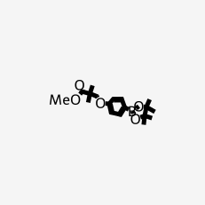 COC(=O)C(C)(C)COc1ccc(B2OC(C)(C)C(C)(C)O2)cc1